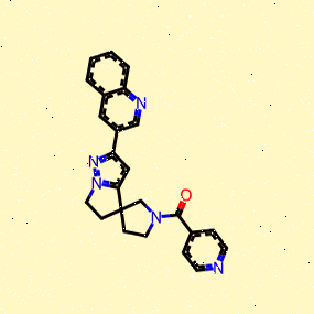 O=C(c1ccncc1)N1CCC2(CCn3nc(-c4cnc5ccccc5c4)cc32)C1